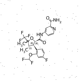 C[C@H]1[C@H](c2ccc(F)cc2OC(F)F)[C@H](C(=O)Nc2ccnc(C(N)=O)c2)O[C@@]1(C)C(F)(F)F